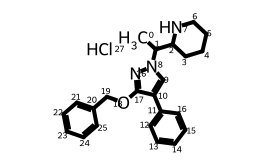 CC(C1CCCCN1)n1cc(-c2ccccc2)c(OCc2ccccc2)n1.Cl